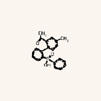 CC(=O)c1cc(C)ccc1-c1ccccc1P(=O)(O)c1ccccc1